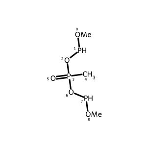 COPOP(C)(=O)OPOC